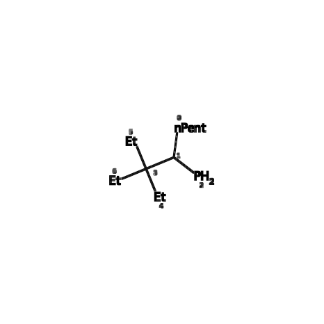 CCCCCC(P)C(CC)(CC)CC